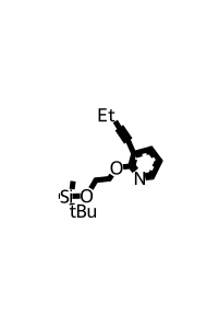 CCC#Cc1cccnc1OCCO[Si](C)(C)C(C)(C)C